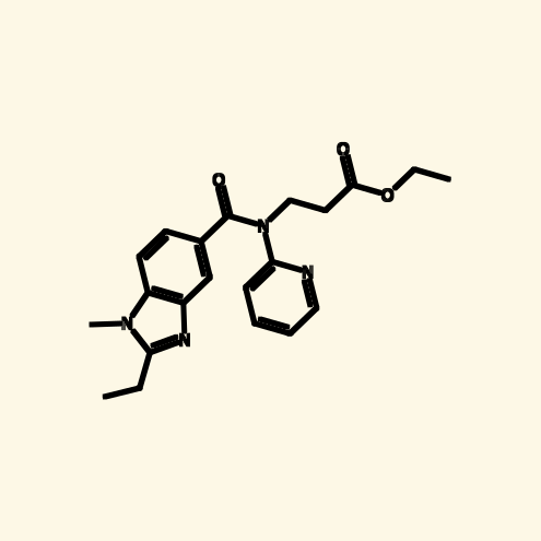 CCOC(=O)CCN(C(=O)c1ccc2c(c1)nc(CC)n2C)c1ccccn1